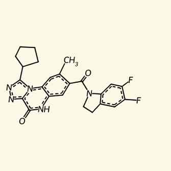 Cc1cc2c(cc1C(=O)N1CCc3cc(F)c(F)cc31)[nH]c(=O)c1nnc(C3CCCC3)n12